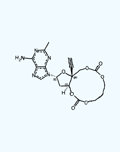 C#C[C@@]12COC(=O)OCCCOC(=O)O[C@H]1C[C@H](n1cnc3c(N)nc(C)nc31)O2